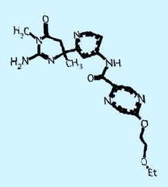 CCOCCOc1cnc(C(=O)Nc2ccnc(C3(C)CC(=O)N(C)C(N)=N3)c2)cn1